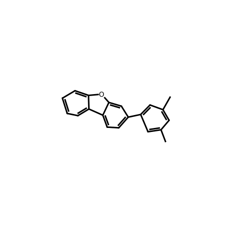 Cc1cc(C)cc(-c2ccc3c(c2)oc2ccccc23)c1